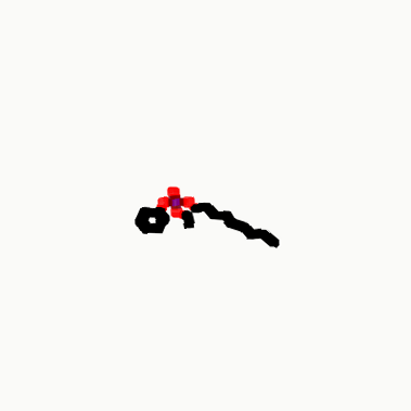 CCCCCCCCCOP(=O)(OCC)Oc1ccccc1